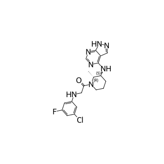 C[C@@H]1[C@@H](Nc2ncnc3[nH]ncc23)CCCN1C(=O)CNc1cc(F)cc(Cl)c1